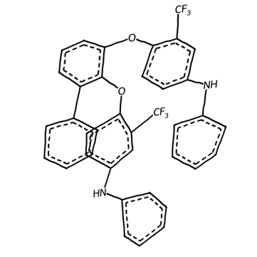 FC(F)(F)c1cc(Nc2ccccc2)ccc1Oc1cccc(-c2ccccc2)c1Oc1ccc(Nc2ccccc2)cc1C(F)(F)F